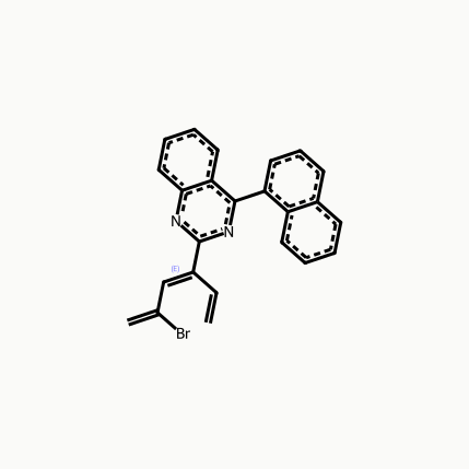 C=C/C(=C\C(=C)Br)c1nc(-c2cccc3ccccc23)c2ccccc2n1